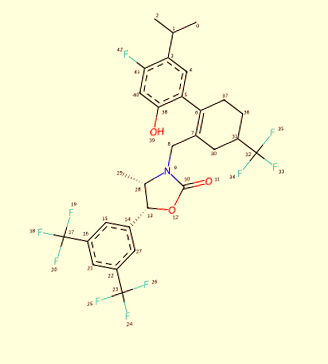 CC(C)c1cc(C2=C(CN3C(=O)O[C@H](c4cc(C(F)(F)F)cc(C(F)(F)F)c4)[C@@H]3C)CC(C(F)(F)F)CC2)c(O)cc1F